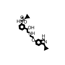 O=S(=O)(Nc1cccc(C(O)CNCCOc2ccc3c(C4CC4)n[nH]c3c2)c1)C1CC1